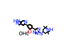 CN(c1ncc(-c2ccc(-c3cc4cn[nH]c4cn3)cc2OC=O)nn1)C1CC(C)(C)NC(C)(C)C1